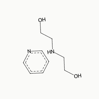 OCCNCCO.c1ccncc1